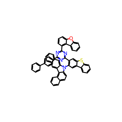 c1ccc(-c2ccc(-c3nc(-c4cc5sc6ccccc6c5cc4-n4c5cc6ccccc6cc5c5c6ccccc6ccc54)nc(-c4cccc5oc6ccccc6c45)n3)cc2)cc1